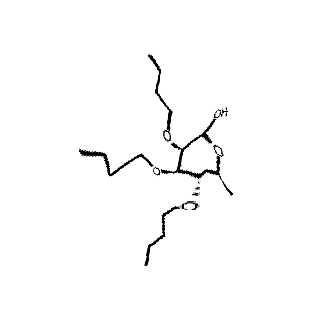 CCCCO[C@@H]1[C@@H](OCCCC)[C@@H](OCCCC)C(O)O[C@H]1C